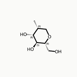 C[C@@H]1CO[C@H](CO)[C@@H](O)[C@@H]1O